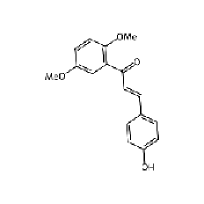 COc1ccc(OC)c(C(=O)/C=C/c2ccc(O)cc2)c1